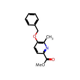 COC(=O)c1ccc(OCc2ccccc2)c(C)n1